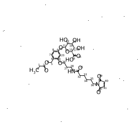 CCC(=O)OCc1ccc(O[C@@H]2O[C@H](C(=O)O)[C@@H](O)[C@H](O)[C@H]2O)cc1OCCCNC(=O)CCCCCN1C(=O)C=CC1=O